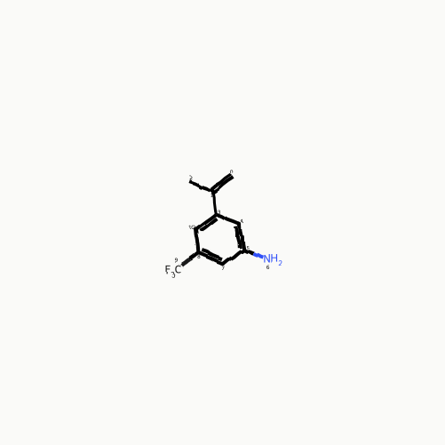 C=C(C)c1cc(N)cc(C(F)(F)F)c1